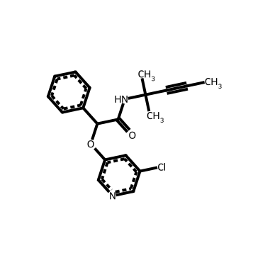 CC#CC(C)(C)NC(=O)C(Oc1cncc(Cl)c1)c1ccccc1